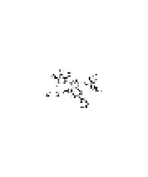 CCOP(=O)(/C=C/[C@H]1O[C@@H](n2cc(C)c(=O)[nH]c2=O)[C@H](OCCOC)[C@@H]1OC(=O)c1ccccc1)OCC